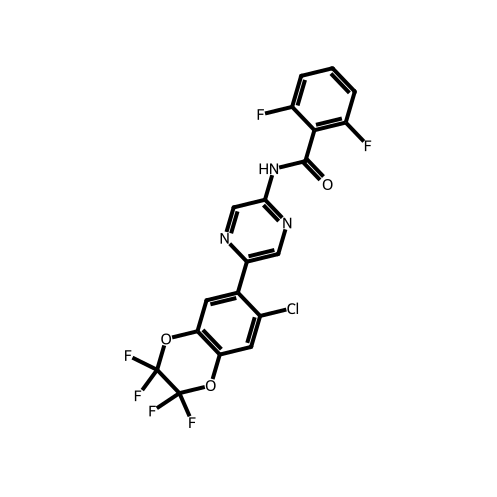 O=C(Nc1cnc(-c2cc3c(cc2Cl)OC(F)(F)C(F)(F)O3)cn1)c1c(F)cccc1F